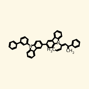 C=C(/C=C(\C=C/C)n1c2ccccc2c2cc(-c3ccc4c(c3)c3ccccc3n4-c3cccc(-c4ccccc4)c3)ccc21)c1ccccc1